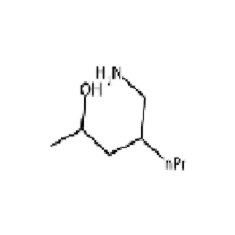 CCCC(CN)CC(C)O